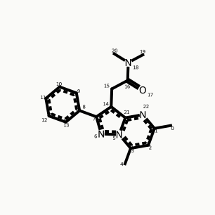 Cc1cc(C)n2nc(-c3ccccc3)c(CC(=O)N(C)C)c2n1